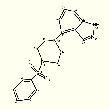 O=S(=O)(c1ccccc1)N1CCN(c2cccc3[nH]ncc23)CC1